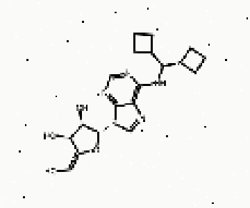 O/C=C1/O[C@@H](n2cnc3c(NC(C4CCC4)C4CCC4)ncnc32)[C@H](O)[C@@H]1O